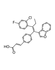 CCC(=C(c1ccc(C=CC(=O)O)cc1)c1coc2ccccc12)c1ccc(F)cc1Cl